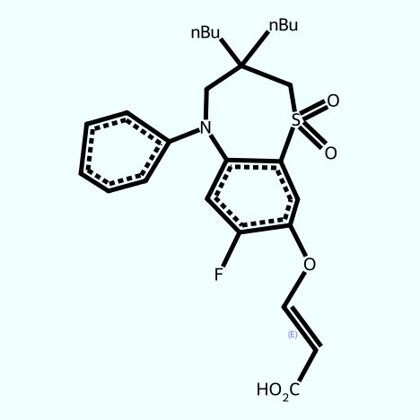 CCCCC1(CCCC)CN(c2ccccc2)c2cc(F)c(O/C=C/C(=O)O)cc2S(=O)(=O)C1